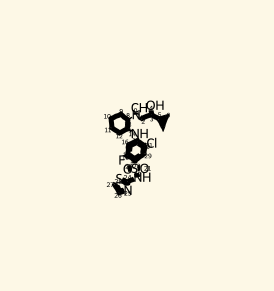 CN(CC(O)C1CC1)[C@H]1CCCC[C@@H]1Nc1cc(F)c(S(=O)(=O)Nc2nccs2)cc1Cl